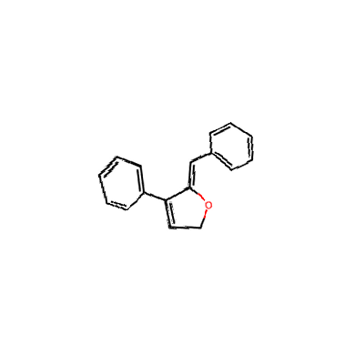 C(=C1OCC=C1c1ccccc1)c1ccccc1